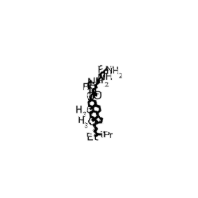 CCC(CCCC1CCC2C3CC=C4CC(OC(=O)N(CCCCNCC(F)(F)CN)CC(F)(F)CN)CCC4(C)C3CCC12C)C(C)C